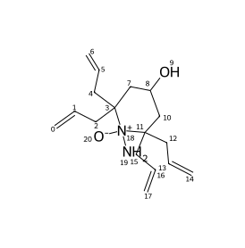 C=CCC1(CC=C)CC(O)CC(CC=C)(CC=C)[N+]1(N)[O-]